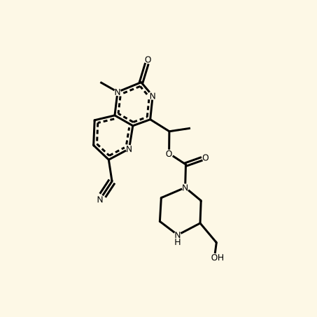 CC(OC(=O)N1CCNC(CO)C1)c1nc(=O)n(C)c2ccc(C#N)nc12